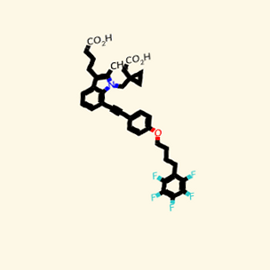 Cc1c(CCCC(=O)O)c2cccc(C#Cc3ccc(OCCCCc4c(F)c(F)c(F)c(F)c4F)cc3)c2n1CC1(CC(=O)O)CC1